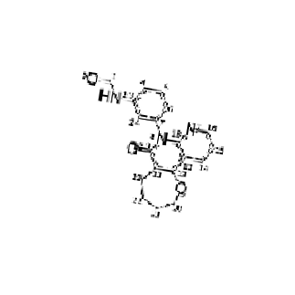 O=CNc1cccc(-n2c(=O)c3c(c4cccnc42)OCCCC3)c1